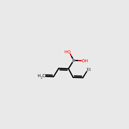 C=C/C=C(\C=C/CC)B(O)O